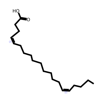 CCCC/C=C\CCCCCCCCC/C=C\CCC(=O)O